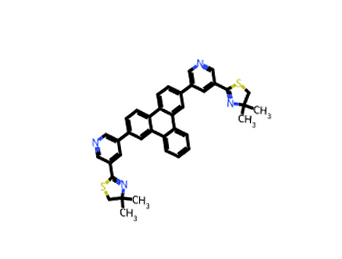 CC1(C)CSC(c2cncc(-c3ccc4c5ccc(-c6cncc(C7=NC(C)(C)CS7)c6)cc5c5ccccc5c4c3)c2)=N1